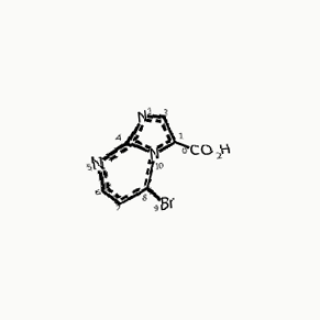 O=C(O)c1cnc2nccc(Br)n12